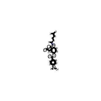 CC(C)=CCC/C(C)=C/[C@H]1OC(=O)CC12C[C@H](OC(=O)c1ccc(N(C)C)cc1)C=CC2=O